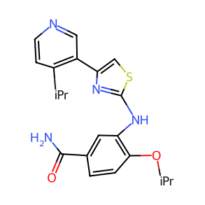 CC(C)Oc1ccc(C(N)=O)cc1Nc1nc(-c2cnccc2C(C)C)cs1